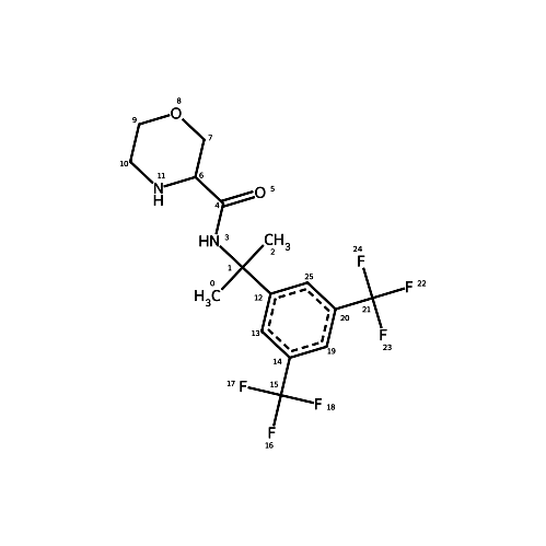 CC(C)(NC(=O)C1COCCN1)c1cc(C(F)(F)F)cc(C(F)(F)F)c1